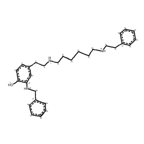 Oc1ccc(CCNCCCCCCNCCc2ccccc2)cc1NCc1ccccc1